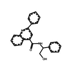 O=C(NC(CO)c1ccccc1)c1cc(-c2ccccc2)nc2ccccc12